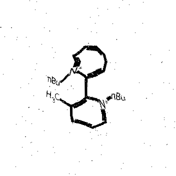 CCCC[n+]1ccccc1-c1c(C)ccc[n+]1CCCC